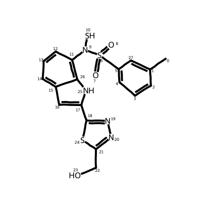 Cc1cccc(S(=O)(=O)N(S)c2cccc3cc(-c4nnc(CO)s4)[nH]c23)c1